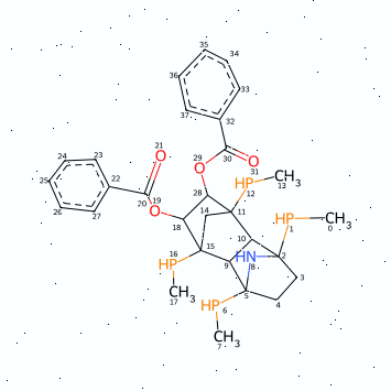 CPC12CCC(PC)(N1)C1C2C2(PC)CC1(PC)C(OC(=O)c1ccccc1)C2OC(=O)c1ccccc1